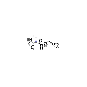 O=C(C/C1=C/CCCNC2C=CC(Cl)=CC12)Nc1nc2cc(N3CCOCC3)ccc2s1